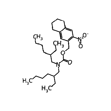 CCCCC(CC)CN(CC(CC)CCCC)C(=O)OCc1cc2c(cc1[N+](=O)[O-])CCCC2